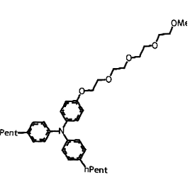 CCCCCc1ccc(N(c2ccc(CCCCC)cc2)c2ccc(OCCOCCOCCOCCOC)cc2)cc1